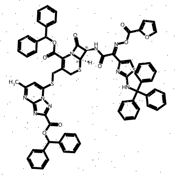 Cc1cc(SCC2=C(C(=O)OC(c3ccccc3)c3ccccc3)N3C(=O)[C@@H](NC(=O)C(=NOC(=O)c4ccco4)c4csc(NC(c5ccccc5)(c5ccccc5)c5ccccc5)n4)[C@H]3SC2)n2nc(C(=O)OC(c3ccccc3)c3ccccc3)nc2n1